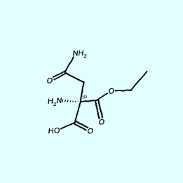 CCOC(=O)[C@](N)(CC(N)=O)C(=O)O